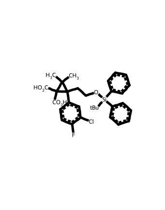 CC1(C)C(C(=O)O)(C(=O)O)C1(CCO[Si](c1ccccc1)(c1ccccc1)C(C)(C)C)c1ccc(F)c(Cl)c1